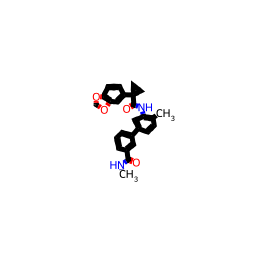 CNC(=O)c1cccc(-c2ccc(C)c(NC(=O)C3(c4ccc5c(c4)OCO5)CC3)c2)c1